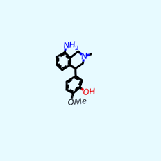 COc1ccc(C2CN(C)Cc3c(N)cccc32)cc1O